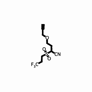 C#CCOCCC(C#N)S(=O)(=O)CCC(F)(F)F